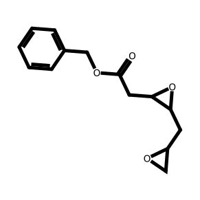 O=C(CC1OC1CC1CO1)OCc1ccccc1